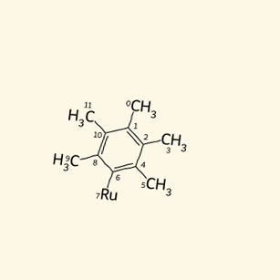 Cc1c(C)c(C)[c]([Ru])c(C)c1C